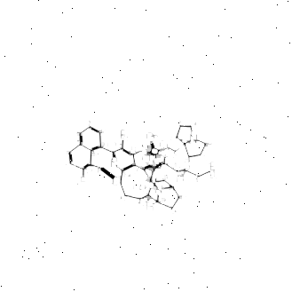 C#Cc1c(F)ccc2cccc(-c3nc4c5c(nc(OC[C@@]67CCCN6C[C@H](F)C7)nc5c3F)N3C[C@H]5CC[C@@H]([C@H]3CCC4)N5Cc3oc(=O)oc3CCCC)c12